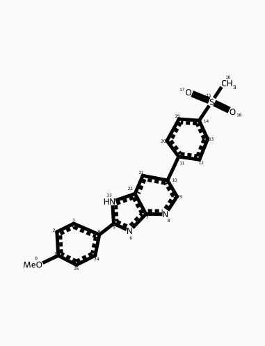 COc1ccc(-c2nc3ncc(-c4ccc(S(C)(=O)=O)cc4)cc3[nH]2)cc1